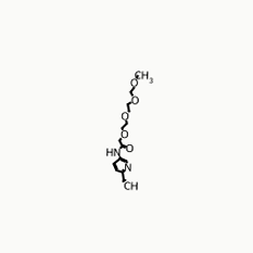 C#Cc1ccc(NC(=O)COCCOCCOCCOC)cn1